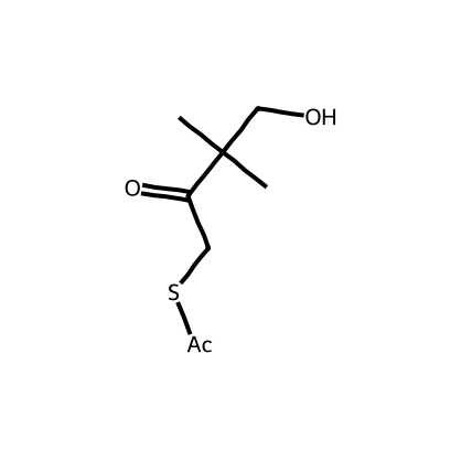 CC(=O)SCC(=O)C(C)(C)CO